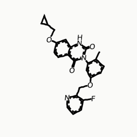 Cc1ccc(OCc2ncccc2F)cc1-n1c(=O)[nH]c2cc(OCC3CC3)ccc2c1=O